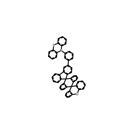 c1cc(-c2ccc3c(c2)-c2ccccc2C32c3ccccc3C3(c4ccccc4Oc4ccccc43)c3ccccc32)cc(N2c3ccccc3Sc3ccccc32)c1